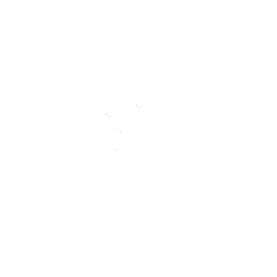 Cc1cnn2ncnc2c1